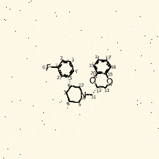 Fc1cccc([C@H]2CCCN(C[C@H]3COc4ccccc4O3)C2)c1